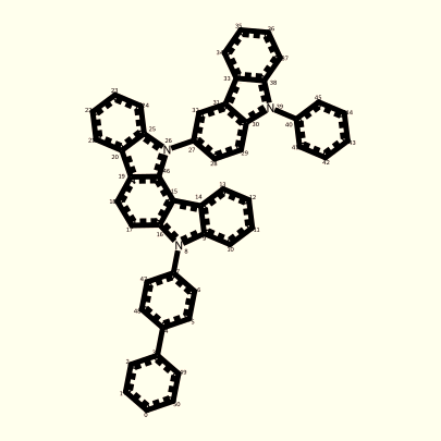 c1ccc(-c2ccc(-n3c4ccccc4c4c3ccc3c5ccccc5n(-c5ccc6c(c5)c5ccccc5n6-c5ccccc5)c34)cc2)cc1